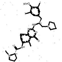 COc1c(I)cc(C[C@@H](CN2CCCC2)Nc2nc3ccc(NC(=O)[C@@H]4CCCN4C)c(C)c3c(=O)o2)cc1I